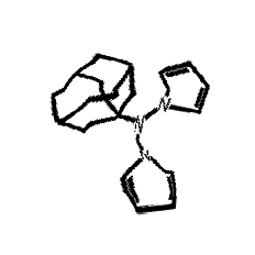 c1ccn(N(n2cccc2)C23CC4CC(CC(C4)C2)C3)c1